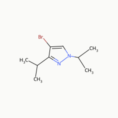 CC(C)c1nn(C(C)C)cc1Br